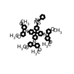 COc1ccc2c(c1)c1cc(OC)ccc1n2-c1ccc(C(c2ccc(-c3nnc(-c4ccccc4)s3)cc2)(c2ccc(-n3c4ccc(OC)cc4c4cc(OC)ccc43)cc2)c2ccc(-n3c4ccc(OC)cc4c4cc(OC)ccc43)cc2)cc1